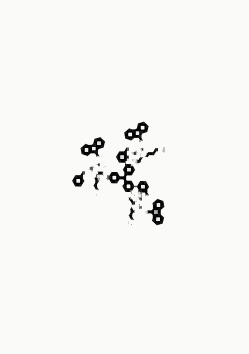 NCCCC[C@H](C(=O)Nc1ccc(C(c2ccc(NC(=O)[C@@H](CCCCN)N(C(=O)OCc3ccccc3)C(=O)OCC3c4ccccc4-c4ccccc43)cc2)c2ccc(NC(=O)[C@@H](CCCCN)N(C(=O)OCc3ccccc3)C(=O)OCC3c4ccccc4-c4ccccc43)cc2)cc1)N(C(=O)OCc1ccccc1)C(=O)OCC1c2ccccc2-c2ccccc21